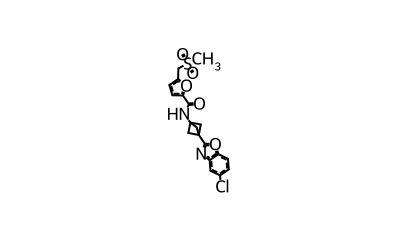 CS(=O)(=O)Cc1ccc(C(=O)NC23CC(c4nc5cc(Cl)ccc5o4)(C2)C3)o1